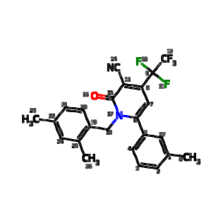 Cc1cccc(-c2cc(C(F)(F)C(F)(F)F)c(C#N)c(=O)n2Cc2ccc(C)cc2C)c1